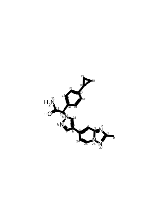 Cc1nc2cc(-c3cnn(C(C(N)=O)c4ccc(C5CC5)cc4)c3)ccn2n1